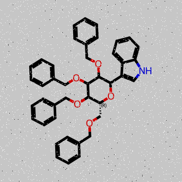 c1ccc(COC[C@H]2OC(c3c[nH]c4ccccc34)C(OCc3ccccc3)C(OCc3ccccc3)C2OCc2ccccc2)cc1